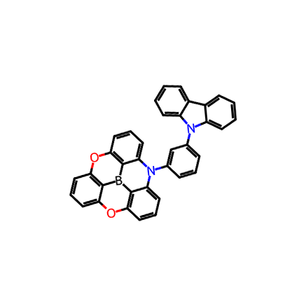 c1cc(N2c3cccc4c3B3c5c(cccc5Oc5cccc2c53)O4)cc(-n2c3ccccc3c3ccccc32)c1